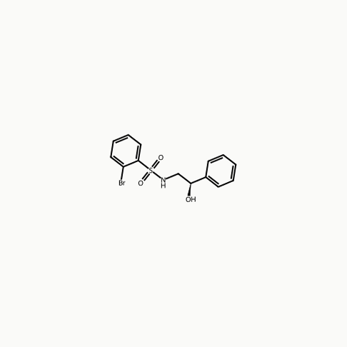 O=S(=O)(NC[C@H](O)c1ccccc1)c1ccccc1Br